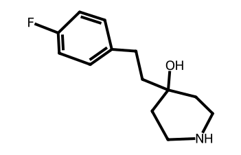 OC1(CCc2ccc(F)cc2)CCNCC1